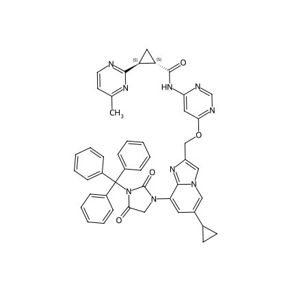 Cc1ccnc([C@H]2C[C@@H]2C(=O)Nc2cc(OCc3cn4cc(C5CC5)cc(N5CC(=O)N(C(c6ccccc6)(c6ccccc6)c6ccccc6)C5=O)c4n3)ncn2)n1